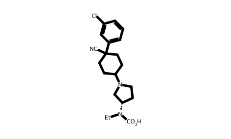 CCN(C(=O)O)[C@H]1CCN(C2CCC(C#N)(c3cccc(Cl)c3)CC2)C1